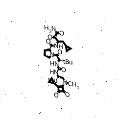 CN(C[C@@H](NC(=O)N[C@H](C(=O)N1CCC[C@H]1C(=O)NC(CC1CC1)C(=O)C(N)=O)C(C)(C)C)C(C)(C)C)c1c(C2CC2)c(=O)c1=O